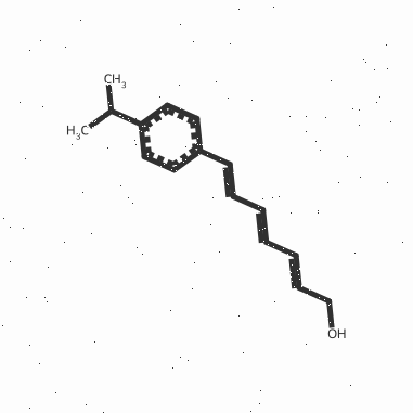 CC(C)c1ccc(C=C/C=C/C=C/CO)cc1